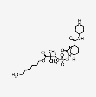 CCCCCCCOC(=O)C(C)(C)COS(=O)(=O)ON1C(=O)N2C[C@H]1CC[C@H]2C(=O)NC1CCNCC1